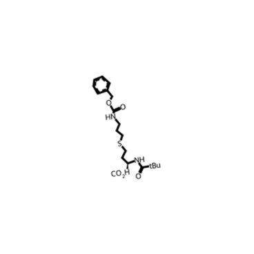 CC(C)(C)C(=O)N[C@H](CCSCCCNC(=O)OCc1ccccc1)C(=O)O